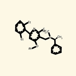 CCc1cccc(CC)c1-c1cc(OC(C)C)c(CN(C)[C@@H](C)c2ccccc2)c(C)n1